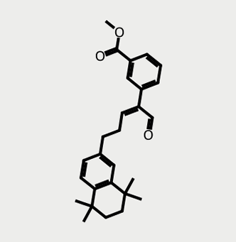 COC(=O)c1cccc(/C(C=O)=C/CCc2ccc3c(c2)C(C)(C)CCC3(C)C)c1